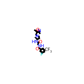 Cc1noc(C)c1CN1CC[C@@H](NC(=O)CNC(=O)c2cc(F)cc(C(F)(F)F)c2)C1